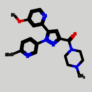 CCOc1ccnc(-c2cc(C(=O)N3CCN(C)CC3)nn2-c2ccc(OC)nc2)c1